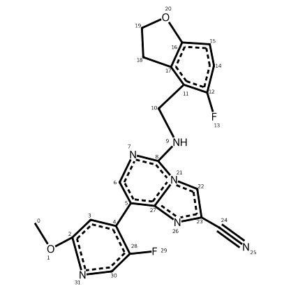 COc1cc(-c2cnc(NCc3c(F)ccc4c3CCO4)n3cc(C#N)nc23)c(F)cn1